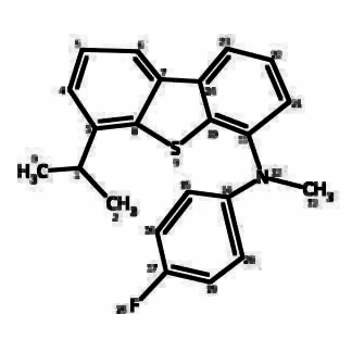 CC(C)c1cccc2c1sc1c(N(C)c3ccc(F)cc3)cccc12